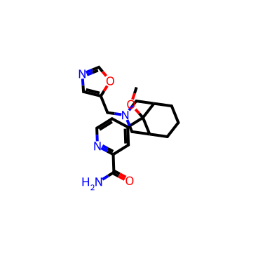 COC1(c2ccnc(C(N)=O)c2)C2CCCC1CN(Cc1cnco1)C2